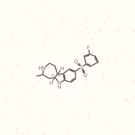 CC1C[C@H]2Nc3ccc(S(=O)(=O)c4cccc(F)c4)cc3[C@H]2CCN1